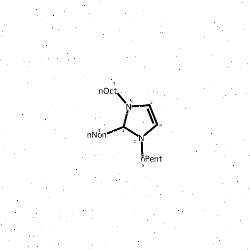 CCCCCCCCCC1N(CCCCC)C=CN1CCCCCCCC